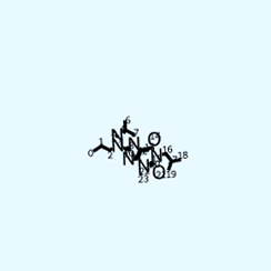 CCCN1N=C(C)Cn2c1nc1c2c(=O)n(CC(C)C)c(=O)n1C